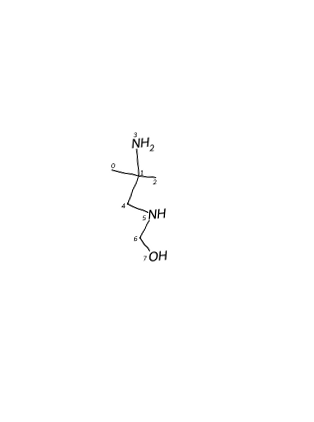 CC(C)(N)CNCO